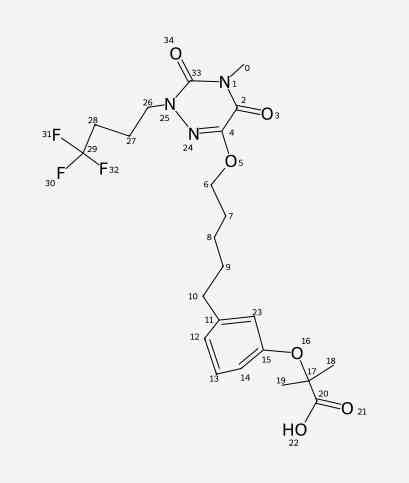 Cn1c(=O)c(OCCCCCc2cccc(OC(C)(C)C(=O)O)c2)nn(CCCC(F)(F)F)c1=O